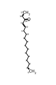 C=CCCCCCCCCCCC=CC(=O)C=C